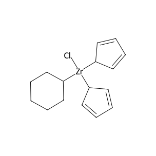 [Cl][Zr]([CH]1C=CC=C1)([CH]1C=CC=C1)[CH]1CCCCC1